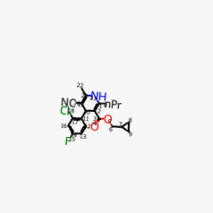 CCCC1=C(C(=O)OCC2CC2)C(c2ccc(F)cc2Cl)C(C#N)=C(C)N1